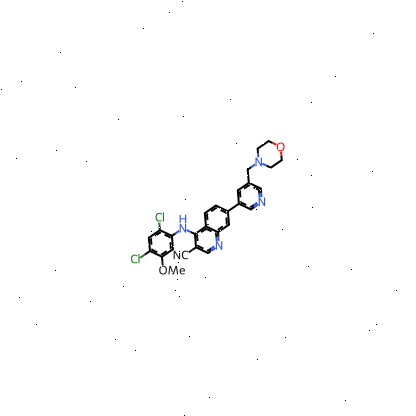 COc1cc(Nc2c(C#N)cnc3cc(-c4cncc(CN5CCOCC5)c4)ccc23)c(Cl)cc1Cl